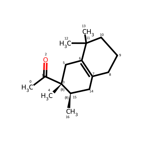 CC(=O)[C@]1(C)CC2=C(CCCC2(C)C)C[C@H]1C